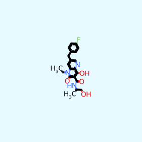 CCn1c(=O)c(C(=O)NC(C)CO)c(O)c2ncc(Cc3ccc(F)cc3)cc21